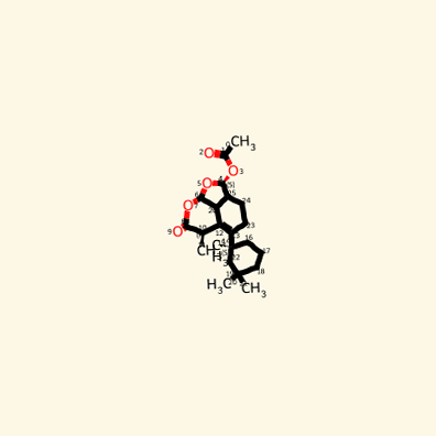 CC(=O)O[C@@H]1OC2OC(=O)[C@H](C)C3=C([C@@]4(C)CCCC(C)(C)C4)CCC1C32